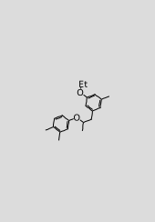 CCOc1cc(C)cc(CC(C)Oc2ccc(C)c(C)c2)c1